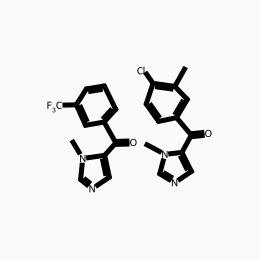 Cc1cc(C(=O)c2cncn2C)ccc1Cl.Cn1cncc1C(=O)c1cccc(C(F)(F)F)c1